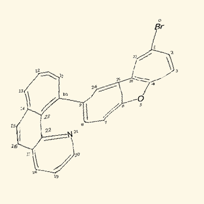 Brc1ccc2oc3ccc(-c4cccc5ccc6cccnc6c45)cc3c2c1